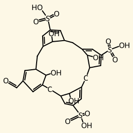 O=CC1=CC2CC3=CC(S(=O)(=O)O)=CC(CC4=CC(S(=O)(=O)O)=CC(CC5=CC(S(=O)(=O)O)=CC(CC(=C1)C2O)C5O)C4O)C3O